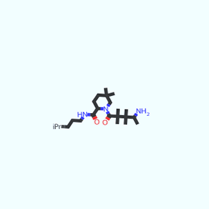 CC(C)CCCNC(=O)C1CCC(C)(C)CN1C(=O)C(C)(C)C(C)(C)C(C)N